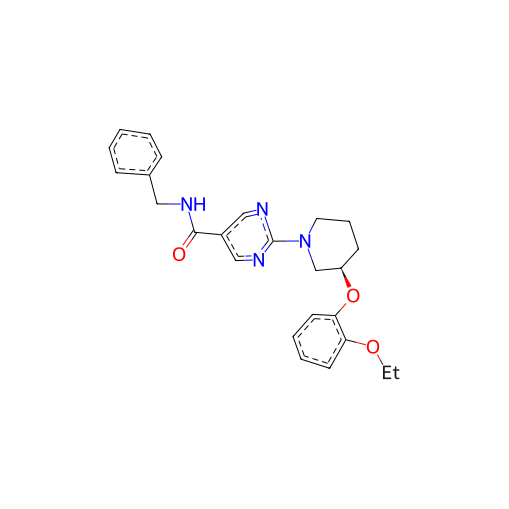 CCOc1ccccc1O[C@@H]1CCCN(c2ncc(C(=O)NCc3ccccc3)cn2)C1